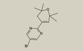 CC1(C)C=C(c2ncc(Br)cn2)CC(C)(C)O1